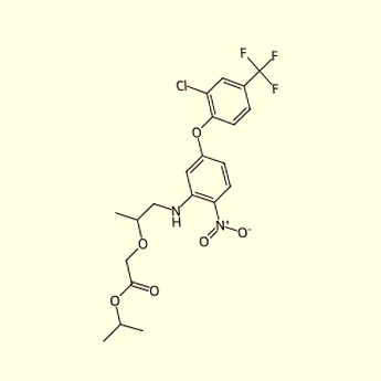 CC(C)OC(=O)COC(C)CNc1cc(Oc2ccc(C(F)(F)F)cc2Cl)ccc1[N+](=O)[O-]